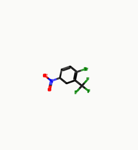 O=[N+]([O-])C1C=CC(Br)=C(C(F)(F)F)C1